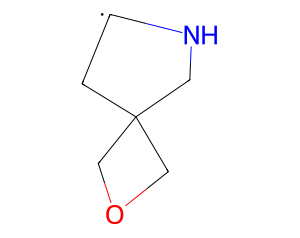 [CH]1CC2(CN1)COC2